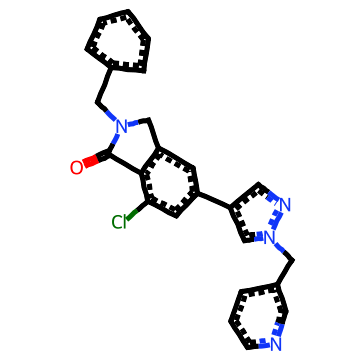 O=C1c2c(Cl)cc(-c3cnn(Cc4cccnc4)c3)cc2CN1Cc1ccccc1